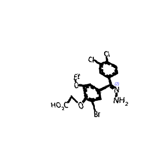 CCOc1cc(/C(=N\N)c2ccc(Cl)c(Cl)c2)cc(Br)c1OCC(=O)O